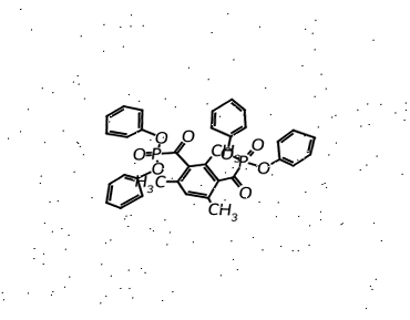 Cc1cc(C)c(C(=O)P(=O)(Oc2ccccc2)Oc2ccccc2)c(C)c1C(=O)P(=O)(Oc1ccccc1)Oc1ccccc1